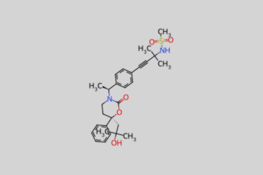 C[C@@H](c1ccc(C#CC(C)(C)NS(C)(=O)=O)cc1)N1CC[C@](CC(C)(C)O)(c2ccccc2)OC1=O